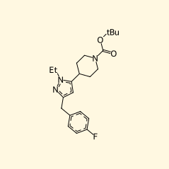 CCn1nc(Cc2ccc(F)cc2)cc1C1CCN(C(=O)OC(C)(C)C)CC1